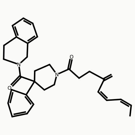 C=C(/C=C\C=C/C)CCC(=O)N1CCC(C(=O)N2CCc3ccccc3C2)(c2ccccc2)CC1